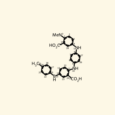 CNc1ccc(Nc2ccc(Nc3ccc(Bc4ccc(C)cc4)cc3C(=O)O)cc2)cc1C(=O)O